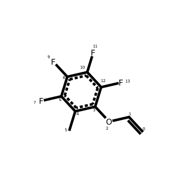 C=COc1c(C)c(F)c(F)c(F)c1F